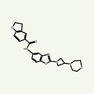 O=C(Nc1ccc2oc(N3CC(N4CCOCC4)C3)nc2c1)c1ccc2c(c1)CCO2